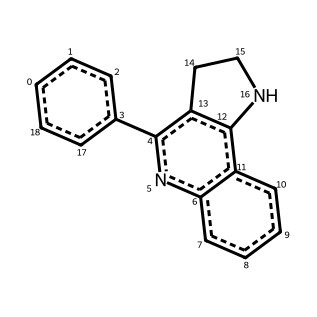 c1ccc(-c2nc3ccccc3c3c2CCN3)cc1